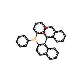 [c]1ccc2ccccc2c1-c1c(P(c2ccccc2)c2ccccc2)ccc2ccccc12